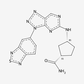 NC(=O)[C@H]1CC[C@@H](Nc2ncc3nnn(-c4ccc5nsnc5c4)c3n2)C1